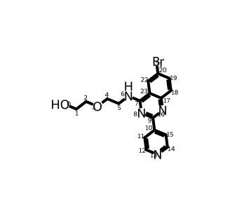 OCCOCCNc1nc(-c2ccncc2)nc2ccc(Br)cc12